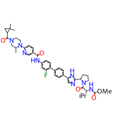 COC(=O)NC(C(=O)N1CCCC1c1ncc(-c2ccc(-c3ccc(NC(=O)c4ccc(N5CCN(C(=O)C6CC6(C)C)CC5C)nc4)cc3F)cc2)[nH]1)C(C)C